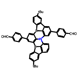 CC(C)(C)c1ccc2c(c1)-c1cccc3c1B2c1cc(-c2ccc(C=O)cc2)cc2c1N3c1cc(-c3ccc(C=O)cc3)cc3c1B2c1ccc(C(C)(C)C)cc1-3